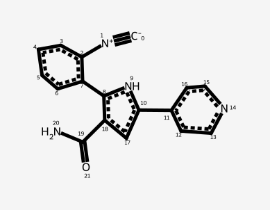 [C-]#[N+]c1ccccc1-c1[nH]c(-c2ccncc2)cc1C(N)=O